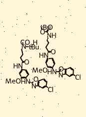 COc1cc(NC(=O)CCCN(C(=O)O)C(C)(C)C)ccc1Nc1nc2cc(Cl)ccc2o1.COc1cc(NC(=O)CCCNC(=O)OC(C)(C)C)ccc1Nc1nc2cc(Cl)ccc2o1